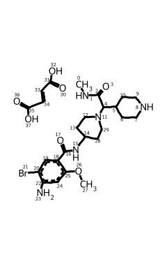 CNC(=O)C(C1CCNCC1)N1CCC(NC(=O)c2cc(Br)c(N)cc2OC)CC1.O=C(O)C=CC(=O)O